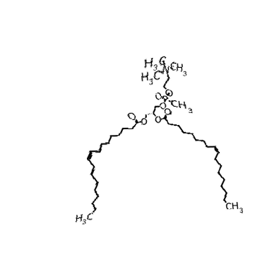 CCCCCCCC/C=C\CCCCCCCC(=O)OC[C@H](COP(C)(=O)OCC[N+](C)(C)C)OC(=O)CCCCCCC/C=C\CCCCCCCC